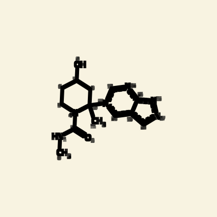 CNC(=O)N1CCC(O)CC1(C)n1cnc2nncc-2c1